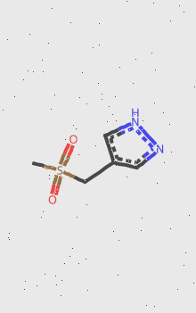 CS(=O)(=O)Cc1cn[nH]c1